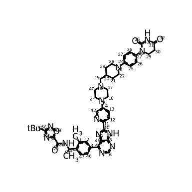 Cc1cc(-c2ncnc3[nH]c(-c4ccc(N5CCN(CC6CCN(c7ccc(N8CCC(=O)NC8=O)cc7)CC6)CC5)cn4)nc23)ccc1[C@@H](C)NC(=O)c1nc(C(C)(C)C)no1